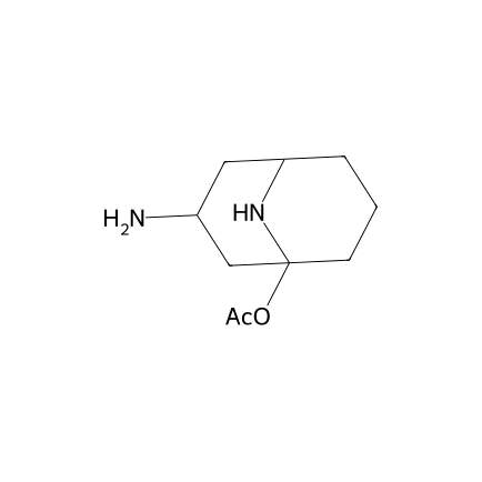 CC(=O)OC12CCCC(CC(N)C1)N2